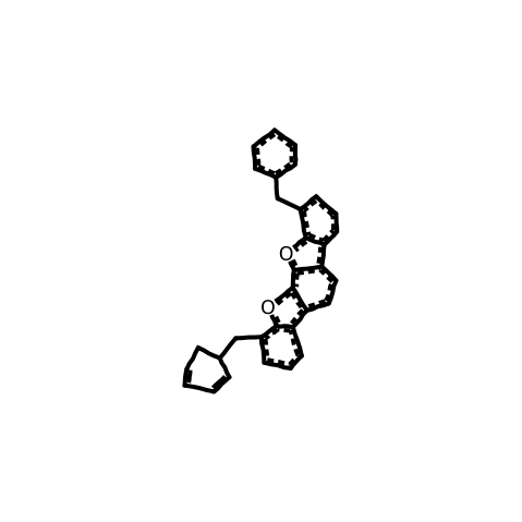 C1=CCC(Cc2cccc3c2oc2c3ccc3c4cccc(Cc5ccccc5)c4oc32)C=C1